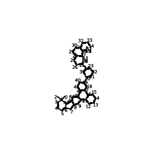 CC1(C)C=CC=C2C=c3cc4c5ccccc5c5cc(-c6cccc(-c7ccc8ccc9cccnc9c8n7)c6)ccc5c4cc3=C21